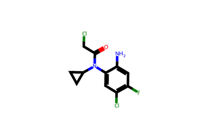 Nc1cc(F)c(Cl)cc1N(C(=O)CCl)C1CC1